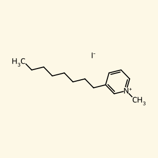 CCCCCCCCc1ccc[n+](C)c1.[I-]